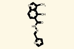 Cc1coc2ccc(C(=O)N/N=C/c3ccco3)c(O)c12